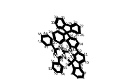 CC1(C)c2ccccc2-c2ccc3c4ccc(C5(c6ccccc6)c6ccccc6-c6ccccc65)cc4n(-c4nc(-c5ccccc5)nc(-c5ccccc5)n4)c3c21